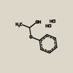 CC(O)Oc1ccccc1.Cl.Cl